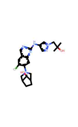 CC(C)(O)Cn1cc(Nc2ncc3cc(Cl)c(N4CC5CCC(C4)C5(C)O)cc3n2)cn1